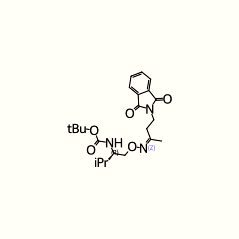 C/C(CCN1C(=O)c2ccccc2C1=O)=N/OC[C@H](NC(=O)OC(C)(C)C)C(C)C